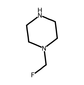 FCN1CCNCC1